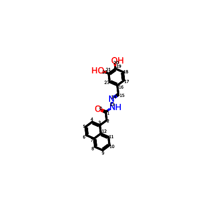 O=C(Cc1cccc2ccccc12)NN=Cc1ccc(O)c(O)c1